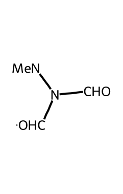 CNN([C]=O)C=O